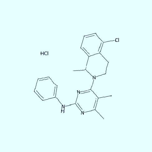 Cc1nc(Nc2ccccc2)nc(N2CCc3c(Cl)cccc3C2C)c1C.Cl